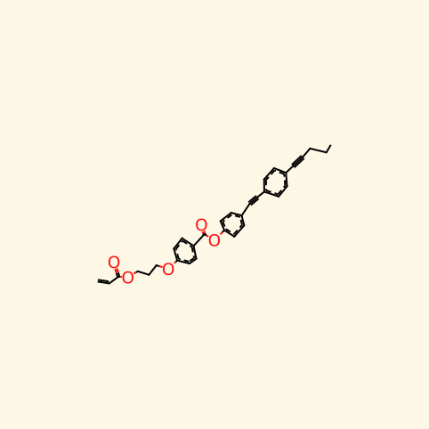 C=CC(=O)OCCCOc1ccc(C(=O)Oc2ccc(C#Cc3ccc(C#CCCC)cc3)cc2)cc1